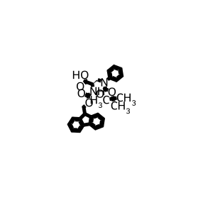 CC(C)(C)OC(=O)N(C[C@H](NC(=O)OCC1c2ccccc2-c2ccccc21)C(=O)O)c1ccccc1